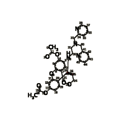 CC(=O)Oc1ccc2c(c1)Oc1cc(OC(C)=O)ccc1C21OOCc2ccc(NCCN(Cc3ccccn3)Cc3ccccn3)cc21